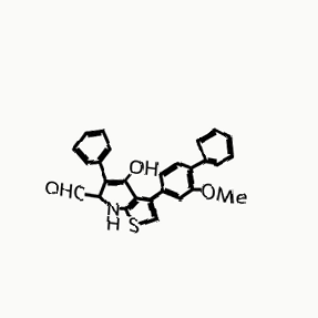 COc1cc(-c2csc3c2C(O)=C(c2ccccc2)C(C=O)N3)ccc1-c1ccccc1